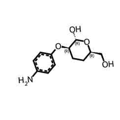 Nc1ccc(O[C@@H]2CC[C@H](CO)O[C@H]2O)cc1